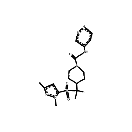 Cc1cc(S(=O)(=O)C(C)(F)C2CCN(C(=O)Nc3ccnnc3)CC2)n(C)n1